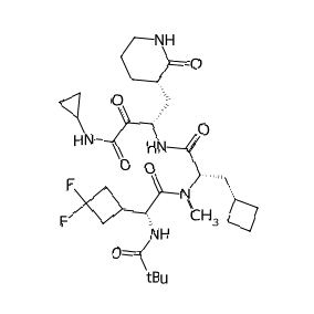 CN(C(=O)[C@H](NC(=O)C(C)(C)C)C1CC(F)(F)C1)[C@@H](CC1CCC1)C(=O)N[C@@H](C[C@@H]1CCCNC1=O)C(=O)C(=O)NC1CC1